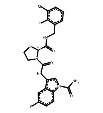 NC(=O)n1cc(NC(=O)N2CCS[C@H]2C(=O)NCc2cccc(Cl)c2F)c2cc(F)ccc21